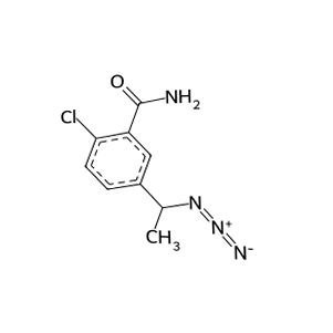 CC(N=[N+]=[N-])c1ccc(Cl)c(C(N)=O)c1